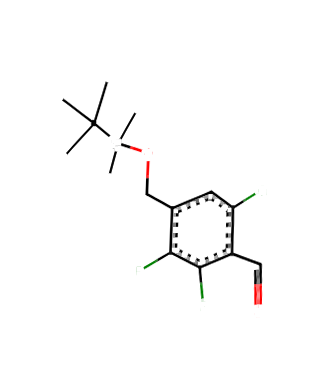 CC(C)(C)[Si](C)(C)OCc1cc(Cl)c(C=O)c(F)c1F